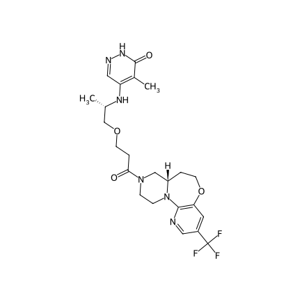 Cc1c(N[C@@H](C)COCCC(=O)N2CCN3c4ncc(C(F)(F)F)cc4OCC[C@H]3C2)cn[nH]c1=O